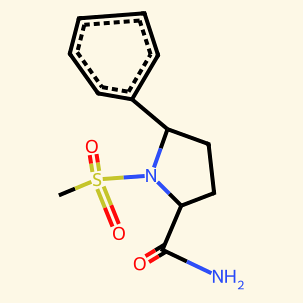 CS(=O)(=O)N1C(C(N)=O)CCC1c1ccccc1